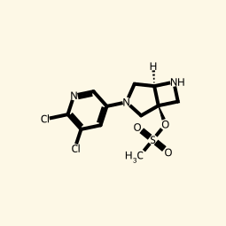 CS(=O)(=O)O[C@]12CN[C@@H]1CN(c1cnc(Cl)c(Cl)c1)C2